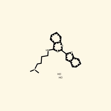 CN(C)CCCCNc1nc(-c2cc3ccccc3o2)nc2ccccc12.Cl.Cl